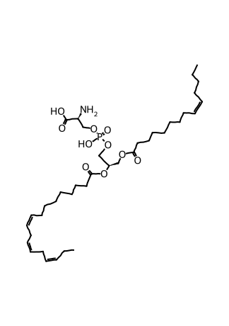 CC/C=C\C/C=C\C/C=C\CCCCCCCC(=O)O[C@H](COC(=O)CCCCCCC/C=C\CCCC)COP(=O)(O)OC[C@H](N)C(=O)O